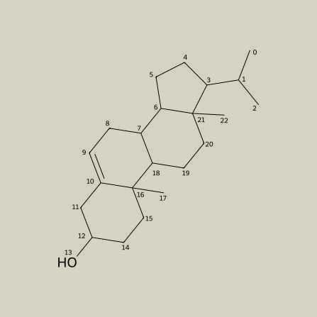 CC(C)C1CCC2C3CC=C4CC(O)CCC4(C)C3CCC12C